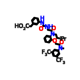 CC(C)CCN(C(=O)CNC(=O)Nc1cccc(CC(=O)O)c1)c1ccccc1OCC(=O)N(C)c1cc(C(F)(F)F)cc(C(F)(F)F)c1